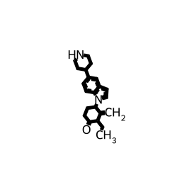 C=C1C(CC)C(=O)CCC1n1ccc2cc(C3CCNCC3)ccc21